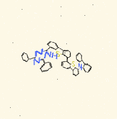 C1=CC2c3cccc(-c4cccc5c4sc4c(C6N=C(c7ccccc7)N=C(c7ccccc7)N6)cccc45)c3SC2C(n2c3ccccc3c3ccccc32)=C1